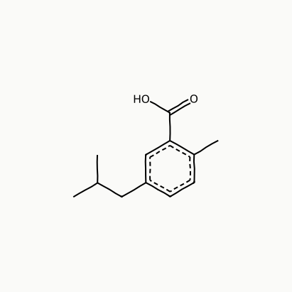 Cc1ccc(CC(C)C)cc1C(=O)O